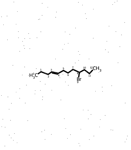 CCCC=CCCCC(Br)CCC